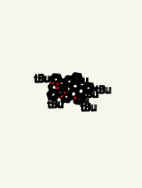 CC(C)(C)c1ccc(C2=C(c3ccc(C(C)(C)C)cc3C(C)(C)C)C(c3ccc(C(C)(C)C)cc3C(C)(C)C)c3cccc4cc(-c5ccc(C(C)(C)C)cc5C(C)(C)C)c(-c5ccc6cccc7c6c5C=CC7)c2c34)c(C(C)(C)C)c1